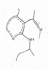 CCC(C)Nc1nccc(C)c1/C(C)=N\I